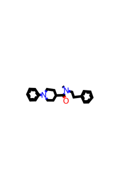 CN(CCc1ccccc1)C(=O)C1CCN(c2ccccc2)CC1